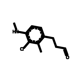 CNc1ccc(CCC=O)c(C)c1Cl